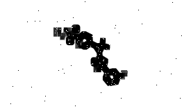 CC1(C)C(c2ccc(S(N)(=O)=O)nc2)C1c1cc(-c2cccc(F)c2)no1